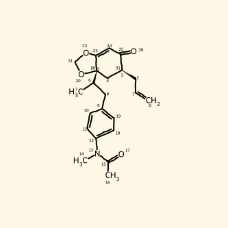 C=CC[C@H]1C[C@]2(C(C)Cc3ccc(N(C)C(C)=O)cc3)OCOC2=CC1=O